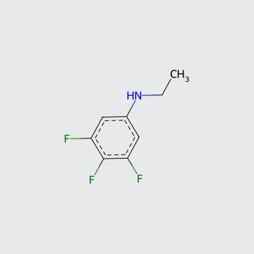 CCNc1cc(F)c(F)c(F)c1